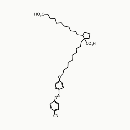 N#Cc1ccc(N=Nc2ccc(OCCCCCCCCCCC3(C(=O)O)CCCC3CCCCCCCCCCC(=O)O)cc2)cc1